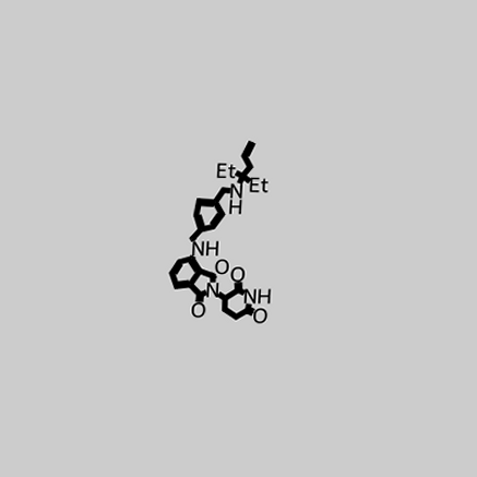 C=CCC(CC)(CC)NCc1ccc(CNc2cccc3c2C(=O)N(C2CCC(=O)NC2=O)C3=O)cc1